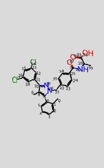 Cc1ccccc1-c1c(C)c(-c2cc(Cl)cc(Cl)c2)nn1Cc1ccc(C(=O)NC(C)C(=O)O)cc1